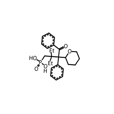 CCC(CC)(CP(=O)(O)O)C(C(=O)c1ccccc1)(c1ccccc1)C1CCCCO1